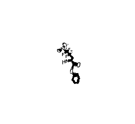 N=C(CC(F)(F)C(F)(F)[N+](=O)[O-])C(=O)Oc1ccccc1